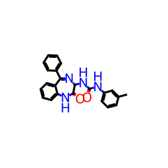 Cc1cccc(NC(=O)NC2N=C(c3ccccc3)c3ccccc3NC2=O)c1